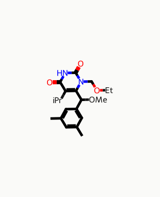 CCOCn1c(C(OC)c2cc(C)cc(C)c2)c(C(C)C)c(=O)[nH]c1=O